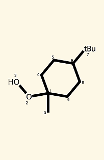 CC1(OO)CCC(C(C)(C)C)CC1